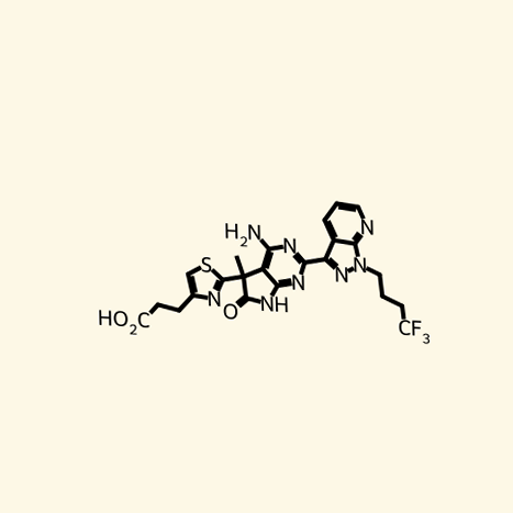 CC1(c2nc(CCC(=O)O)cs2)C(=O)Nc2nc(-c3nn(CCCC(F)(F)F)c4ncccc34)nc(N)c21